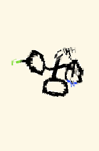 O=C(O)C(c1ccccc1)(c1ccc(F)cc1)[C@@H]1CN2CCC1CC2